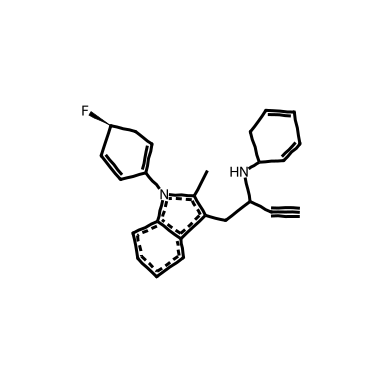 C#CC(Cc1c(C)n(C2=CC[C@H](F)C=C2)c2ccccc12)NC1C=CC=CC1